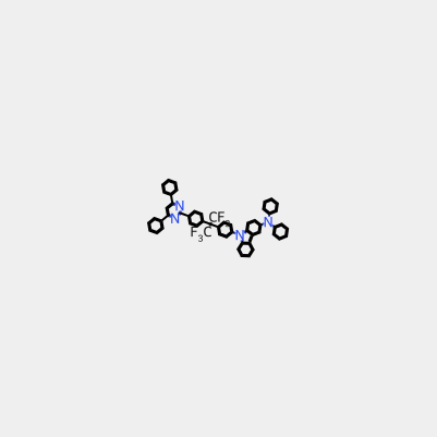 FC(F)(F)C(c1ccc(-c2nc(-c3ccccc3)cc(-c3ccccc3)n2)cc1)(c1ccc(-n2c3ccccc3c3cc(N(c4ccccc4)c4ccccc4)ccc32)cc1)C(F)(F)F